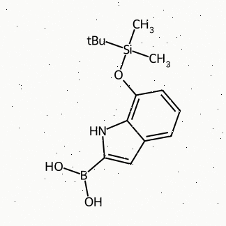 CC(C)(C)[Si](C)(C)Oc1cccc2cc(B(O)O)[nH]c12